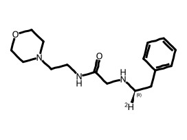 [2H][C@H](Cc1ccccc1)NCC(=O)NCCN1CCOCC1